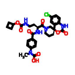 CN(C(=O)O)c1ccc(C(=O)N[C@@H](CCNC(=O)OC2CCC2)C(=O)N2CCC[C@@]3(C2)OC(=O)Nc2ccc(Cl)cc23)cc1